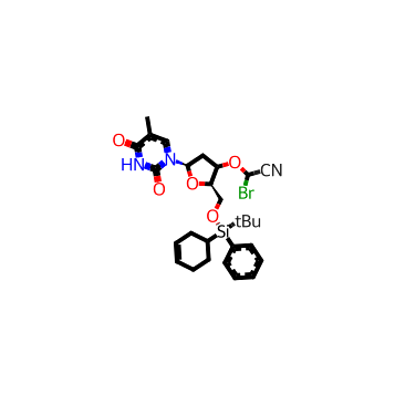 Cc1cn([C@H]2CC(OC(Br)C#N)[C@@H](CO[Si](c3ccccc3)(C3CC=CCC3)C(C)(C)C)O2)c(=O)[nH]c1=O